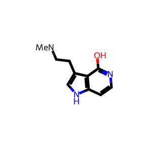 CNCCc1c[nH]c2ccnc(O)c12